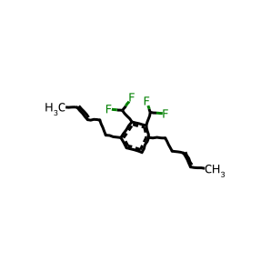 C/C=C/CCc1ccc(CC/C=C/C)c(C(F)F)c1C(F)F